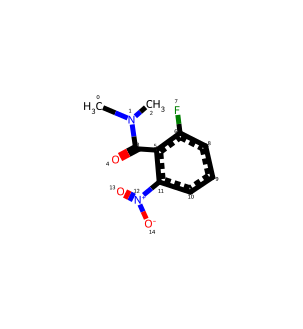 CN(C)C(=O)c1c(F)cccc1[N+](=O)[O-]